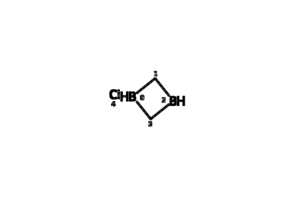 B1CBC1.[C]